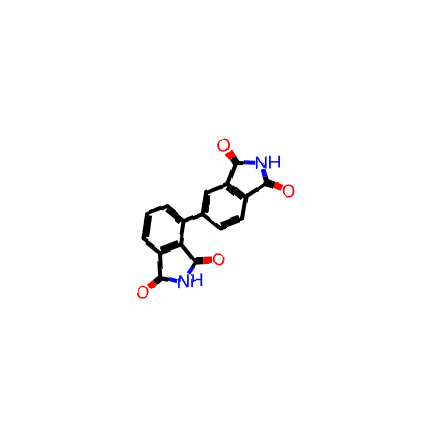 O=C1NC(=O)c2cc(-c3cccc4c3C(=O)NC4=O)ccc21